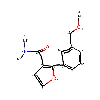 CCN(CC)C(=O)c1ccoc1-c1cccc(COC(C)(C)C)c1